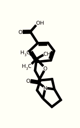 CC(C)(C)OC(=O)N1C2CCC1CC(Cc1cccc(C(=O)O)c1)C2